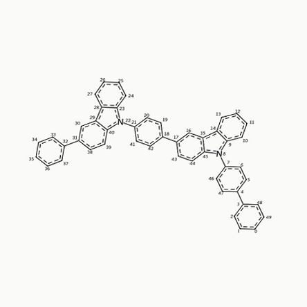 c1ccc(-c2ccc(-n3c4ccccc4c4cc(-c5ccc(-n6c7ccccc7c7cc(-c8ccccc8)ccc76)cc5)ccc43)cc2)cc1